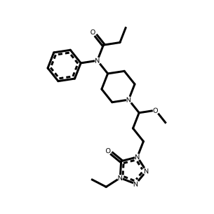 CCC(=O)N(c1ccccc1)C1CCN(C(CCn2nnn(CC)c2=O)OC)CC1